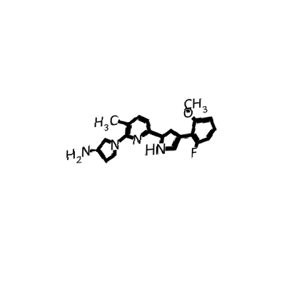 COc1cccc(F)c1C1=CNC(c2ccc(C)c(N3CC[C@@H](N)C3)n2)C1